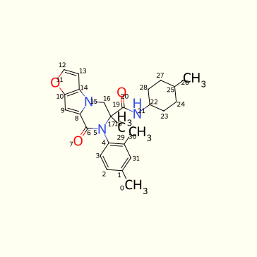 Cc1ccc(N2C(=O)c3cc4occc4n3CC2(C)C(=O)NC2CCC(C)CC2)c(C)c1